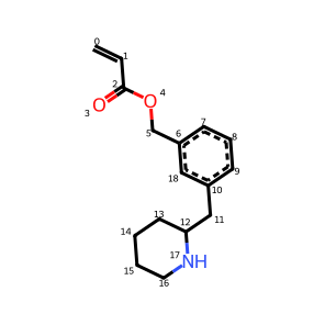 C=CC(=O)OCc1cccc(CC2CCCCN2)c1